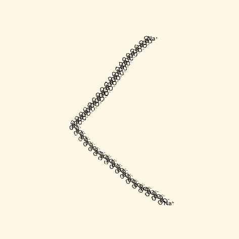 [Na+].[Na+].[O-]B([O-])[O-].[O-]B([O-])[O-].[O-]B([O-])[O-].[O-]B([O-])[O-].[O-]B([O-])[O-].[O-]B([O-])[O-].[O-]B([O-])[O-].[O-]B([O-])[O-].[O-]B([O-])[O-].[O-]B([O-])[O-].[O-]B([O-])[O-].[O-]B([O-])[O-].[O-]B([O-])[O-].[O-]B([O-])[O-].[O-]B([O-])[O-].[O-]B([O-])[O-].[O-]B([O-])[O-].[O-]B([O-])[O-].[O-]B([O-])[O-].[O-]B([O-])[O-].[O-]B([O-])[O-].[O-]B([O-])[O-].[O-]B([O-])[O-].[O-]B([O-])[O-].[O-]B([O-])[O-].[O-]B([O-])[O-].[O-]B([O-])[O-].[O-]B([O-])[O-].[O-]B([O-])[O-].[O-]B([O-])[O-].[O-]B([O-])[O-].[O-]B([O-])[O-].[O-]B([O-])[O-].[O-]B([O-])[O-].[O-]B([O-])[O-]